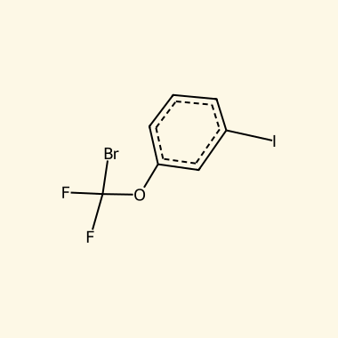 FC(F)(Br)Oc1cccc(I)c1